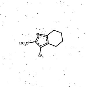 CCOC(=O)c1[nH]c2c(c1C(F)(F)F)CCCC2